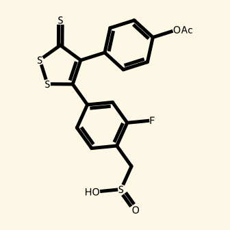 CC(=O)Oc1ccc(-c2c(-c3ccc(CS(=O)O)c(F)c3)ssc2=S)cc1